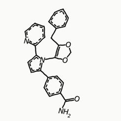 NC(=O)c1ccc(-c2ccc(-c3ccccn3)n2C2=C(Cc3ccccc3)OCO2)cc1